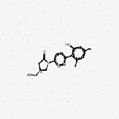 Cc1cc(C)c(-c2ccc(N3C[C@@H](CO)CC3=O)nn2)c(O)c1